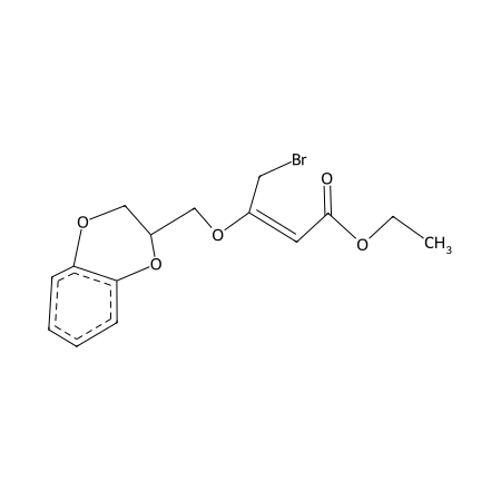 CCOC(=O)C=C(CBr)OCC1COc2ccccc2O1